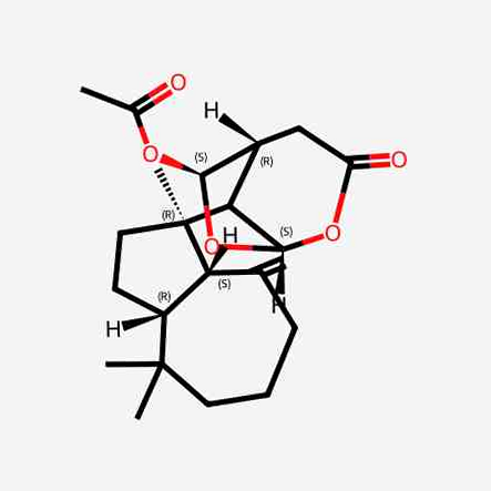 C=C1CCCC(C)(C)[C@@H]2CC[C@@](C)(C3[C@@H]4OC(=O)C[C@H]3[C@H](OC(C)=O)O4)[C@H]12